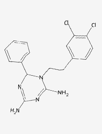 NC1=NC(c2ccccc2)N(CCc2ccc(Cl)c(Cl)c2)C(N)=N1